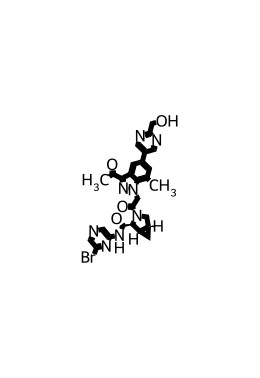 CC(=O)c1nn(CC(=O)N2C[C@H]3C[C@H]3[C@H]2C(=O)Nc2cncc(Br)n2)c2c(C)cc(-c3cnc(CO)nc3)cc12